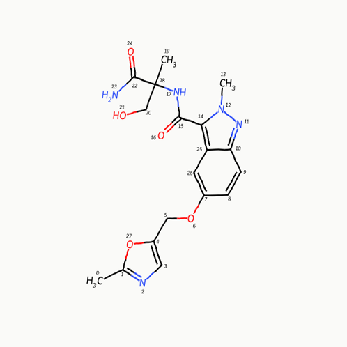 Cc1ncc(COc2ccc3nn(C)c(C(=O)NC(C)(CO)C(N)=O)c3c2)o1